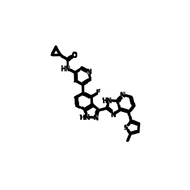 Cc1ccc(-c2ccnc3[nH]c(-c4n[nH]c5ccc(-c6cncc(NC(=O)C7CC7)c6)c(F)c45)nc23)s1